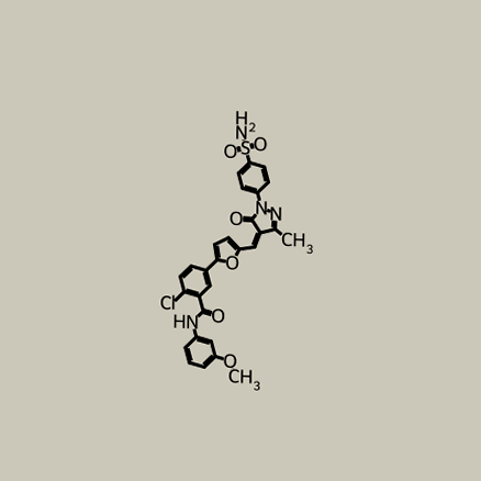 COc1cccc(NC(=O)c2cc(-c3ccc(/C=C4\C(=O)N(c5ccc(S(N)(=O)=O)cc5)N=C4C)o3)ccc2Cl)c1